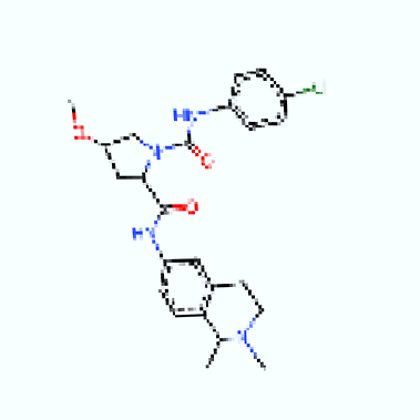 COC1CC(C(=O)Nc2ccc3c(c2)CCN(C)C3C)N(C(=O)Nc2ccc(Cl)cc2)C1